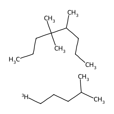 CCCC(C)C(C)(C)CCC.[3H]CCCC(C)C